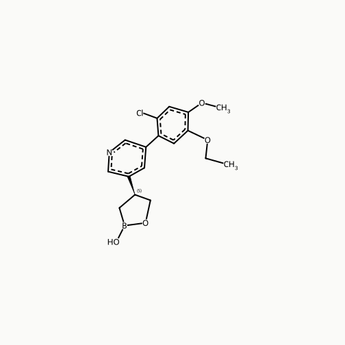 CCOc1cc(-c2cncc([C@H]3COB(O)C3)c2)c(Cl)cc1OC